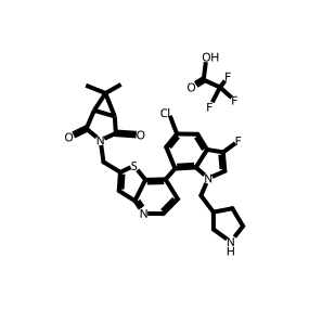 CC1(C)C2C(=O)N(Cc3cc4nccc(-c5cc(Cl)cc6c(F)cn(CC7CCNC7)c56)c4s3)C(=O)C21.O=C(O)C(F)(F)F